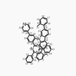 Cc1ccccc1-c1ccc2c3ccc(-c4ccccc4C)cc3n(-c3cc(-c4ccncc4)ccc3-c3nc(-c4ccccc4)nc(-c4ccccc4)n3)c2c1